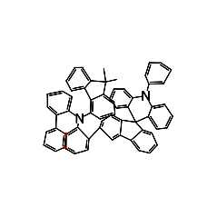 CC1(C)c2ccccc2-c2c(N(c3ccccc3-c3ccccc3)c3ccccc3-c3ccc4c(c3)-c3ccccc3C43c4ccccc4N(c4ccccc4)c4ccccc43)cccc21